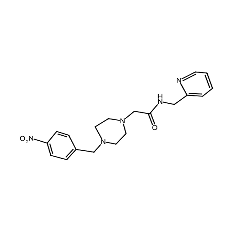 O=C(CN1CCN(Cc2ccc([N+](=O)[O-])cc2)CC1)NCc1ccccn1